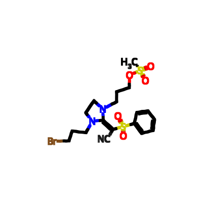 CS(=O)(=O)OCCCN1CCN(CCCBr)C1=C(C#N)S(=O)(=O)c1ccccc1